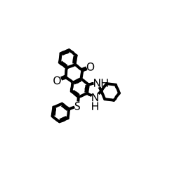 O=C1c2ccccc2C(=O)c2c1cc(Sc1ccccc1)c1c2NC2(CCCCC2)N1